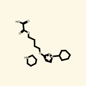 C1CCNCC1.O=C(O)C(=O)OCCCCOc1ccn(C2CCCCC2)n1